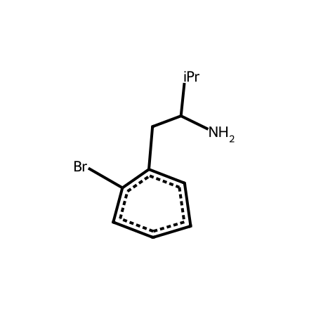 CC(C)C(N)Cc1ccccc1Br